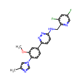 COc1cc(-c2ccc(NCc3ncc(F)cc3F)nn2)ccc1-n1cnc(C)c1